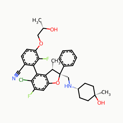 C[C@H](O)COc1ccc(C#N)c(-c2c(Cl)c(F)cc3c2[C@H](C)[C@@](CN[C@H]2CC[C@](C)(O)CC2)(c2ccccc2)O3)c1F